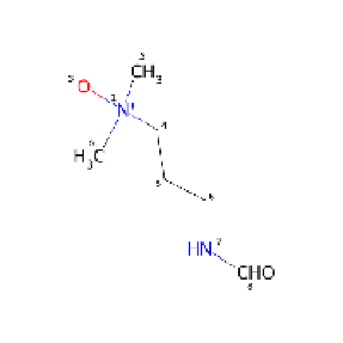 C[N+](C)([O-])CCCNC=O